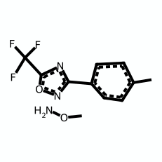 CON.Cc1ccc(-c2noc(C(F)(F)F)n2)cc1